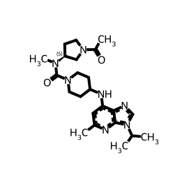 CC(=O)N1CC[C@H](N(C)C(=O)N2CCC(Nc3cc(C)nc4c3ncn4C(C)C)CC2)C1